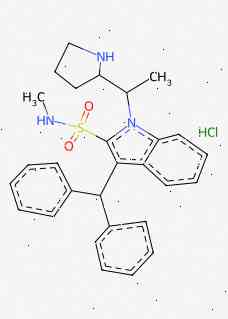 CNS(=O)(=O)c1c(C(c2ccccc2)c2ccccc2)c2ccccc2n1C(C)C1CCCN1.Cl